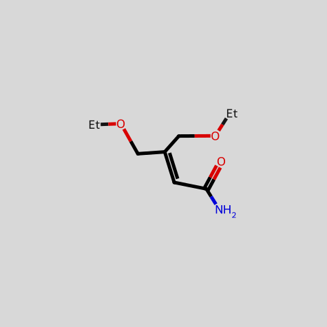 CCOCC(=CC(N)=O)COCC